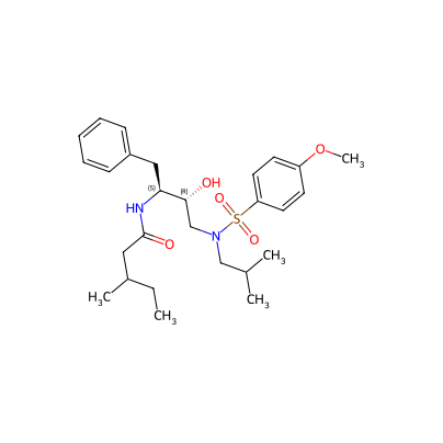 CCC(C)CC(=O)N[C@@H](Cc1ccccc1)[C@H](O)CN(CC(C)C)S(=O)(=O)c1ccc(OC)cc1